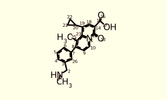 CNCc1cccc(-c2ccn3c(=O)c(C(=O)O)cc(C4CC4)c3c2C)c1